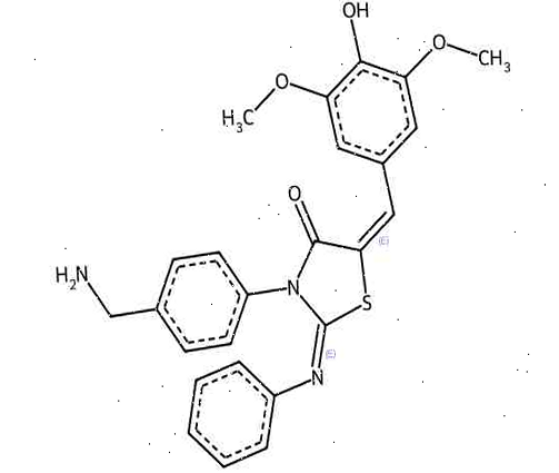 COc1cc(/C=C2/S/C(=N/c3ccccc3)N(c3ccc(CN)cc3)C2=O)cc(OC)c1O